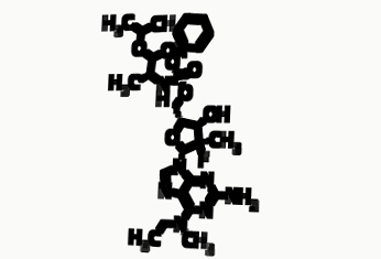 CCN(C)c1nc(N)nc2c1ncn2[C@@H]1O[C@H](COP(=O)(N[C@@H](C)C(O)OC(C)C)Oc2ccccc2)[C@@H](O)[C@@]1(C)F